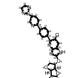 O[C@@H]1CO[C@H]2[C@@H]1OC[C@H]2Oc1nc2nc(-c3ccc(-c4ccc(-n5nccn5)cn4)cc3)c(Cl)cc2[nH]1